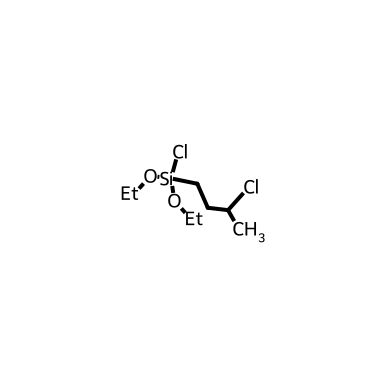 CCO[Si](Cl)(CCC(C)Cl)OCC